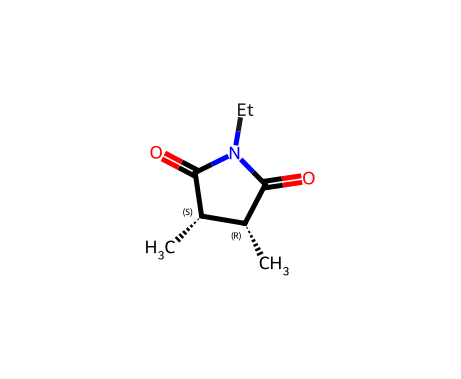 CCN1C(=O)[C@@H](C)[C@@H](C)C1=O